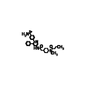 CCCC(=O)N(C)C1CCC(CC(=O)Nc2cnc(-c3ccc(C4(N)CC4)cc3)c(-c3ccccc3)c2)CC1